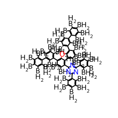 Bc1c(B)c(B)c(-c2nc(-c3c(B)c(B)c(B)c(B)c3B)nc(-c3c(B)c(B)c(-c4c(B)c(B)c(B)c(-c5c(B)c(B)c(B)c(B)c5B)c4B)c4oc5c(-c6c(B)c(B)c(B)c(-c7c(B)c(B)c(B)c(B)c7B)c6B)c(B)c(B)c(B)c5c34)n2)c(B)c1B